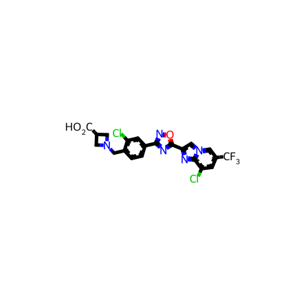 O=C(O)C1CN(Cc2ccc(-c3noc(-c4cn5cc(C(F)(F)F)cc(Cl)c5n4)n3)cc2Cl)C1